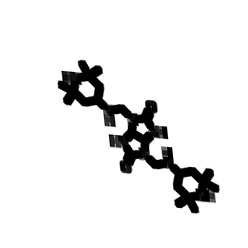 CC1(C)CC(NCN2C(=O)NC3C2NC(=O)N3CNC2CC(C)(C)NC(C)(C)C2)CC(C)(C)N1